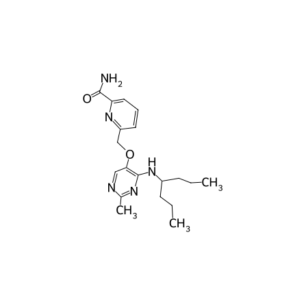 CCCC(CCC)Nc1nc(C)ncc1OCc1cccc(C(N)=O)n1